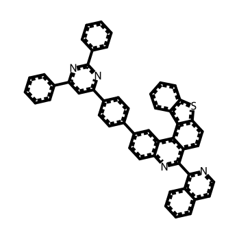 c1ccc(-c2cc(-c3ccc(-c4ccc5nc(-c6nccc7ccccc67)c6ccc7sc8ccccc8c7c6c5c4)cc3)nc(-c3ccccc3)n2)cc1